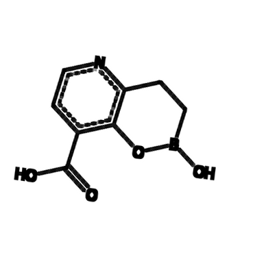 O=C(O)c1ccnc2c1OB(O)CC2